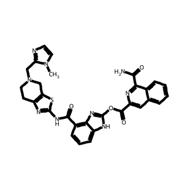 Cn1ccnc1CN1CCc2nc(NC(=O)c3cccc4[nH]c(OC(=O)c5cc6ccccc6c(C(N)=O)n5)nc34)sc2C1